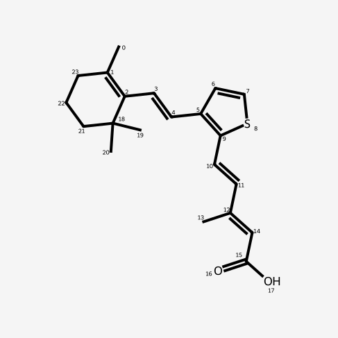 CC1=C(C=Cc2ccsc2/C=C/C(C)=C/C(=O)O)C(C)(C)CCC1